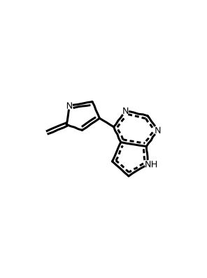 C=C1C=C(c2ncnc3[nH]ccc23)C=N1